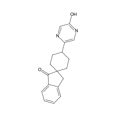 O=C1c2ccccc2CC12CCC(c1cnc(O)cn1)CC2